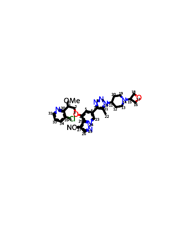 COC(COc1cc(-c2nnn(C3CCN(C4COC4)CC3)c2C)cn2ncc(C#N)c12)c1ncccc1Cl